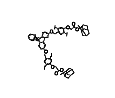 CC1(OC(=O)COc2cc(I)c(COc3ccc4c(c3)-c3cc(OCc5cc(I)c(OCC(=O)OC6(C)C7CC8CC(C7)CC6C8)cc5I)ccc3[SH]4c3ccccc3)cc2I)C2CC3CC(C2)CC1C3